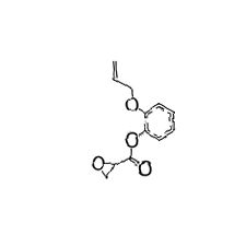 C=CCOc1ccccc1OC(=O)C1CO1